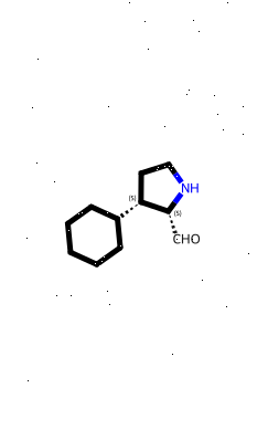 O=C[C@H]1NCC[C@H]1C1CCCCC1